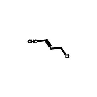 CCC/N=[C]/[C]=O